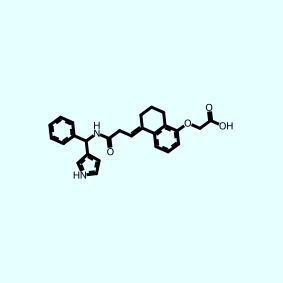 O=C(O)COc1cccc2c1CCC/C2=C\CC(=O)NC(c1ccccc1)c1cc[nH]c1